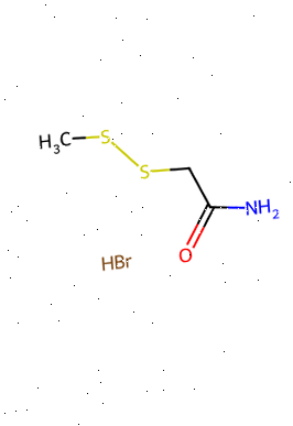 Br.CSSCC(N)=O